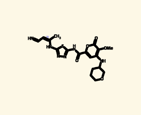 COc1c(NC2CCCOC2)cc(C(=O)Nc2nnc(N/C(C)=C\C=N)s2)oc1=O